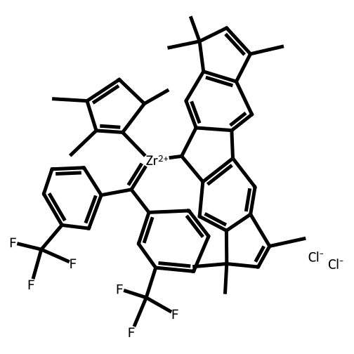 CC1=CC(C)[C]([Zr+2](=[C](c2cccc(C(F)(F)F)c2)c2cccc(C(F)(F)F)c2)[CH]2c3cc4c(cc3-c3cc5c(cc32)C(C)(C)C=C5C)C(C)=CC4(C)C)=C1C.[Cl-].[Cl-]